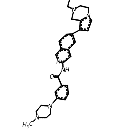 CN1CCN(c2cccc(C(=O)Nc3cc4cc(-c5ccn6c5CN(CCF)CC6)ccc4cn3)c2)CC1